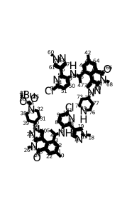 Cc1cc(C(C)Nc2ccc(Cl)nc2-c2cnn(C)c2)c2c(c1)c(=O)n(C)c1nn(C3CCN(C(=O)OC(C)(C)C)CC3)cc21.Cc1cc(C(C)Nc2ccc(Cl)nc2-c2cnn(C)c2)c2c(c1)c(=O)n(C)c1nn(C3CCNCC3)cc21